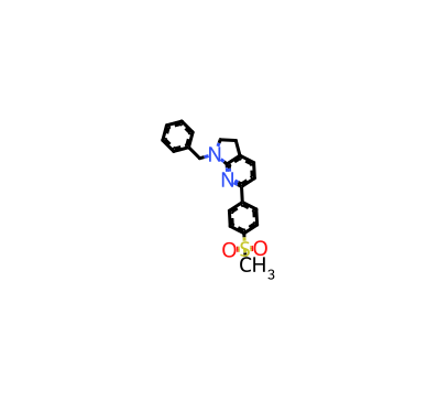 CS(=O)(=O)c1ccc(-c2ccc3c(n2)N(Cc2ccccc2)CC3)cc1